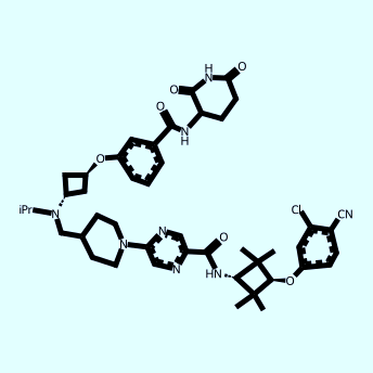 CC(C)N(CC1CCN(c2cnc(C(=O)N[C@H]3C(C)(C)[C@H](Oc4ccc(C#N)c(Cl)c4)C3(C)C)cn2)CC1)[C@H]1C[C@H](Oc2cccc(C(=O)NC3CCC(=O)NC3=O)c2)C1